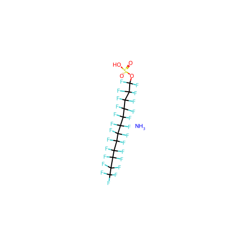 N.O=S(=O)(O)OC(F)(F)C(F)(F)C(F)(F)C(F)(F)C(F)(F)C(F)(F)C(F)(F)C(F)(F)C(F)(F)C(F)(F)C(F)(F)C(F)(F)F